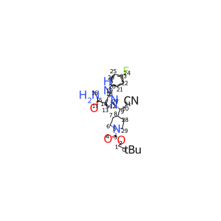 CC(C)(C)COC(=O)N1CCC(C(CC#N)n2cc(C(N)=O)c(Nc3ccc(F)cc3)n2)CC1